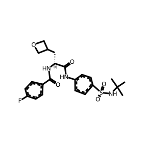 CC(C)(C)NS(=O)(=O)c1ccc(NC(=O)[C@@H](CC2COC2)NC(=O)c2ccc(F)cc2)cc1